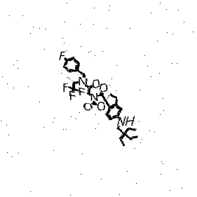 CCC(CC)(CC)CNc1ccc2c(c1)CC[C@@]21OC(=O)N(CC(=O)N(Cc2ccc(F)cc2)[C@@H](C)C(F)(F)F)C1=O